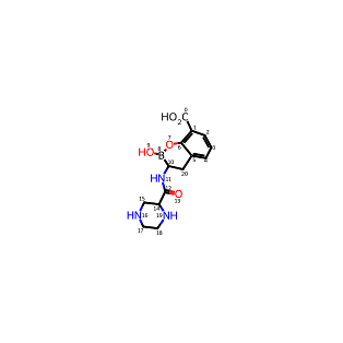 O=C(O)c1cccc2c1OB(O)C(NC(=O)C1CNCCN1)C2